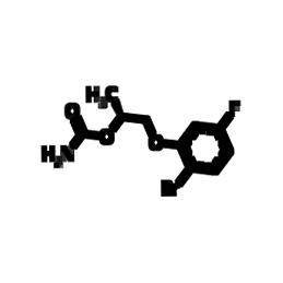 C[C@@H](COc1cc(F)ccc1Br)OC(N)=O